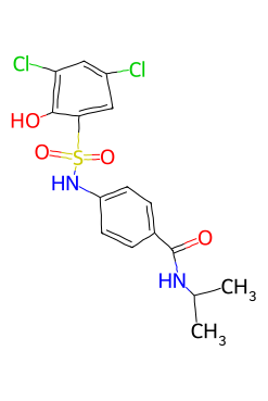 CC(C)NC(=O)c1ccc(NS(=O)(=O)c2cc(Cl)cc(Cl)c2O)cc1